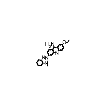 CCOc1ccc2nc3cc(N=Nc4ccccc4N(C)C)ccc3c(N)c2c1